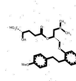 COc1ccc(CCc2ccccc2OC[C@@H](CN(C)C)OC(=O)CC[C@H](O)C(=O)O)cc1